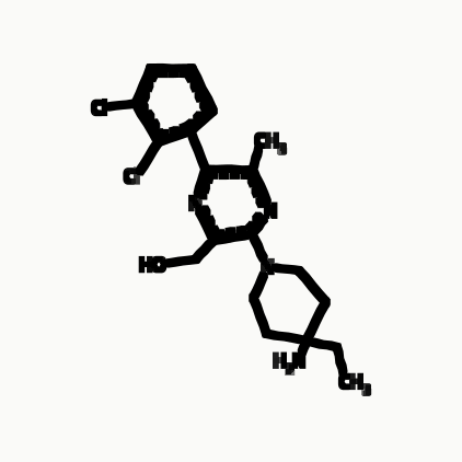 CCC1(N)CCN(c2nc(C)c(-c3cccc(Cl)c3Cl)nc2CO)CC1